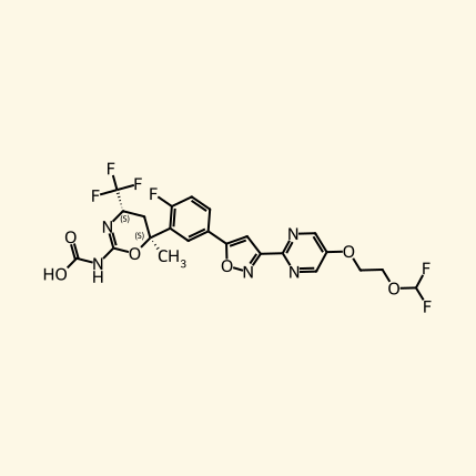 C[C@@]1(c2cc(-c3cc(-c4ncc(OCCOC(F)F)cn4)no3)ccc2F)C[C@@H](C(F)(F)F)N=C(NC(=O)O)O1